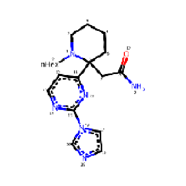 CCCCCCN1CCCCC1(CC(N)=O)c1ccnc(-n2ccnc2)n1